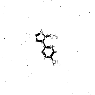 Cc1ccc(-c2ccnn2C)nc1